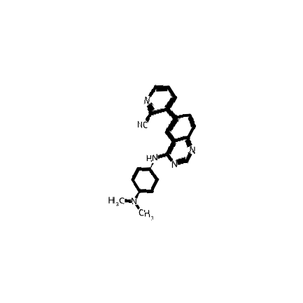 CN(C)[C@H]1CC[C@H](Nc2ncnc3ccc(-c4cccnc4C#N)cc23)CC1